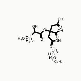 CC(O)C(=O)OC(CC(=O)O)(CC(=O)O)C(=O)O.O.O.O.O.O.[CaH2]